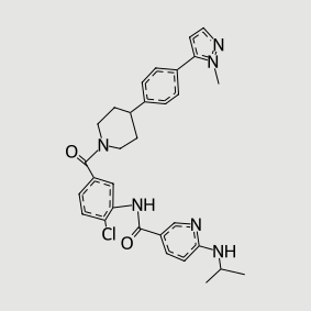 CC(C)Nc1ccc(C(=O)Nc2cc(C(=O)N3CCC(c4ccc(-c5ccnn5C)cc4)CC3)ccc2Cl)cn1